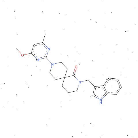 COc1cc(C)nc(N2CCC3(CCCN(Cc4c[nH]c5ccccc45)C3=O)CC2)n1